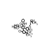 CN(C)CCCOc1cc(-c2nc(C(=O)NC3CCCCC3)ccc2-c2cc(N(C)C)ccc2Cl)ccc1Cl.Cl.O=C(O)O